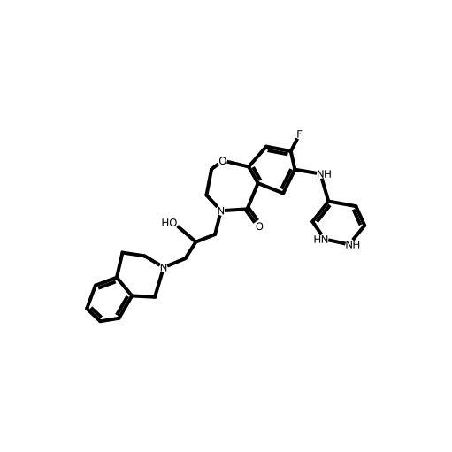 O=C1c2cc(NC3=CNNC=C3)c(F)cc2OCCN1CC(O)CN1CCc2ccccc2C1